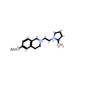 COc1ccc2c(c1)CCN(CCN1CCCC1C)C2